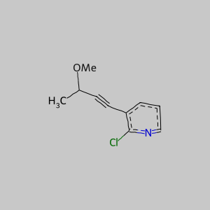 COC(C)C#Cc1cccnc1Cl